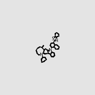 C=C1/C=C\C=C/CN(c2ccccc2)c2cc3c4ccccc4n(-c4ccc(-c5nc6ccccc6s5)c5ccccc45)c3cc21